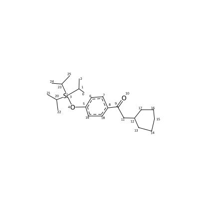 CC(C)[Si](Oc1ccc(C(=O)CC2CCCCC2)cc1)(C(C)C)C(C)C